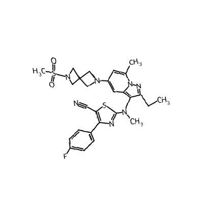 CCc1nn2c(C)cc(N3CC4(C3)CN(S(C)(=O)=O)C4)cc2c1N(C)c1nc(-c2ccc(F)cc2)c(C#N)s1